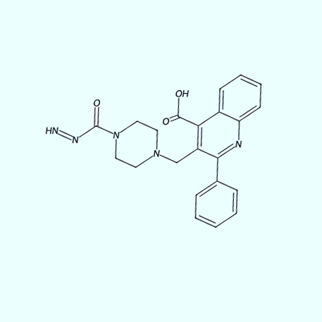 N=NC(=O)N1CCN(Cc2c(-c3ccccc3)nc3ccccc3c2C(=O)O)CC1